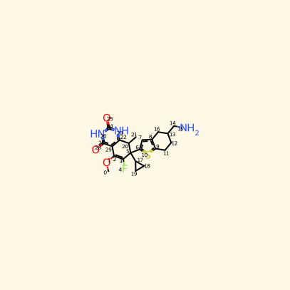 COC1=C(F)C(c2cc3c(s2)CCC(CN)C3)(C2CC2)C(C)c2[nH]c(=O)[nH]c(=O)c21